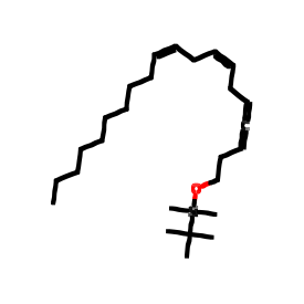 CCCCCCCCC/C=C\C/C=C\CC=C=CCCO[Si](C)(C)C(C)(C)C